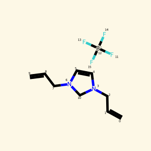 C=CCN1C=CN(CC=C)C1.F[B-](F)(F)F